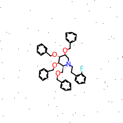 Fc1ccccc1CCN1C[C@H](OCc2ccccc2)[C@@H](OCc2ccccc2)[C@H](OCc2ccccc2)[C@@H]1COCc1ccccc1